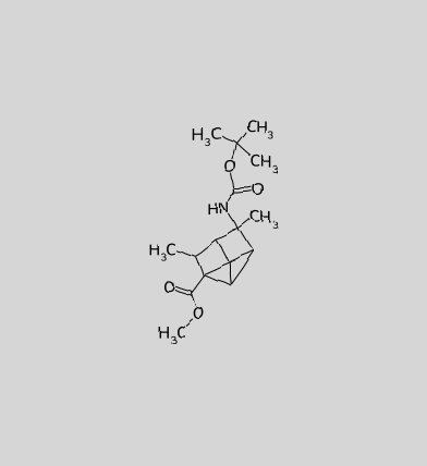 COC(=O)C12C(C)C3C(C)(NC(=O)OC(C)(C)C)C4C1C342